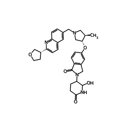 C[C@@H]1CN(Cc2ccc3nc([C@@H]4CCOC4)ccc3c2)C[C@H]1Oc1ccc2c(c1)CN(C1CCC(=O)NC1O)C2=O